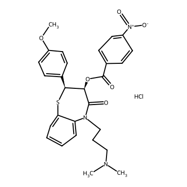 COc1ccc([C@@H]2Sc3ccccc3N(CCCN(C)C)C(=O)[C@@H]2OC(=O)c2ccc([N+](=O)[O-])cc2)cc1.Cl